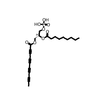 CC#CC#CC#CC#CC(=O)OC[C@H](COP(=O)(O)O)OC(=O)CCCCCCCC